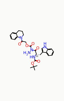 CC(C)(C)OC(=O)N[C@@H](Cc1c[nH]c2ccccc12)C(=O)N(N)C(=O)OCC(=O)N1CCCc2ccccc21